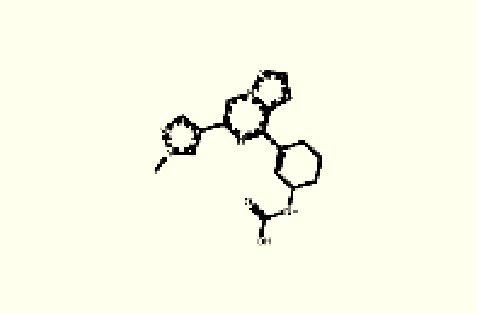 Cn1cc(-c2cn3nccc3c(C3=C[C@H](NC(=O)O)CCC3)n2)cn1